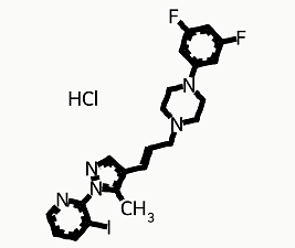 Cc1c(C=CCN2CCN(c3cc(F)cc(F)c3)CC2)cnn1-c1ncccc1I.Cl